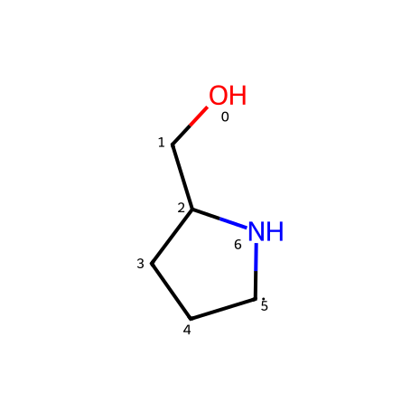 OCC1CC[CH]N1